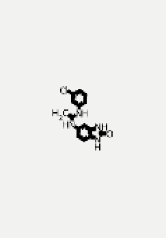 C=C(Nc1cccc(Cl)c1)Nc1ccc2[nH]c(=O)[nH]c2c1